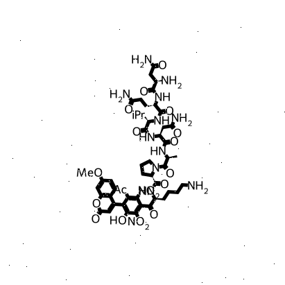 COc1ccc2c(-c3c(O)c([N+](=O)[O-])c(C(=O)[C@H](CCCCN)NC(=O)[C@@H]4CCCN4C(=O)[C@H](C)NC(=O)[C@H](CC(N)=O)NC(=O)[C@@H](NC(=O)[C@H](CCC(N)=O)NC(=O)[C@@H](N)CC(N)=O)C(C)C)c([N+](=O)[O-])c3C(C)=O)cc(=O)oc2c1